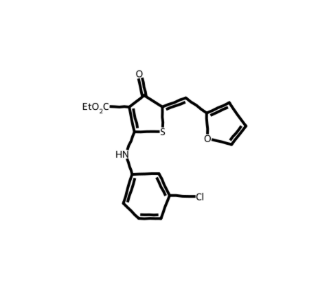 CCOC(=O)C1=C(Nc2cccc(Cl)c2)S/C(=C\c2ccco2)C1=O